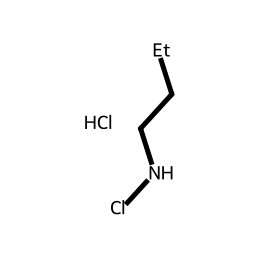 CCCCNCl.Cl